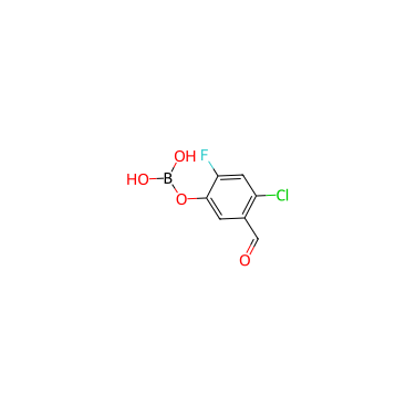 O=Cc1cc(OB(O)O)c(F)cc1Cl